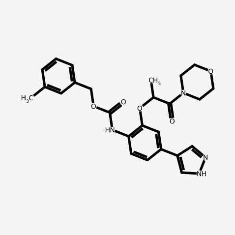 Cc1cccc(COC(=O)Nc2ccc(-c3cn[nH]c3)cc2OC(C)C(=O)N2CCOCC2)c1